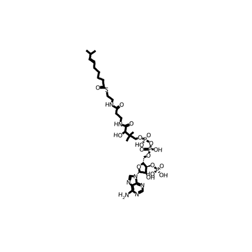 CC(C)C=CCCCCC(=O)SCCNC(=O)CCNC(=O)C(O)C(C)(C)COP(=O)(O)OP(=O)(O)OC[C@H]1O[C@@H](n2cnc3c(N)ncnc32)[C@H](O)[C@@H]1OP(=O)(O)O